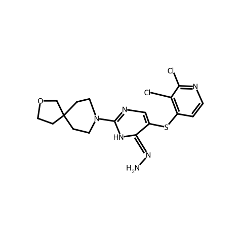 N/N=c1\[nH]c(N2CCC3(CCOC3)CC2)ncc1Sc1ccnc(Cl)c1Cl